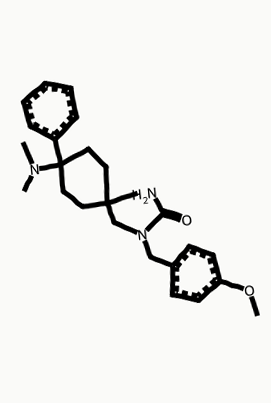 COc1ccc(CN(CC2(C)CCC(c3ccccc3)(N(C)C)CC2)C(N)=O)cc1